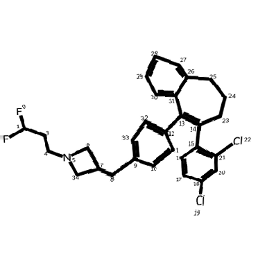 FC(F)CCN1CC(Cc2ccc(C3=C(c4ccc(Cl)cc4Cl)CCCc4ccccc43)cc2)C1